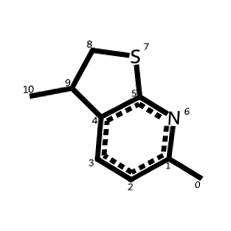 Cc1ccc2c(n1)SCC2C